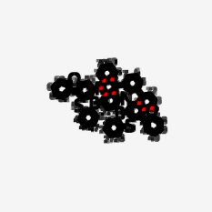 c1ccc(-c2cccc(-c3ccccc3)c2N2c3cc4c(cc3B3c5ccccc5Sc5c3c2cc2oc3ccccc3c52)B2c3ccccc3Sc3c2c(cc2oc5ccccc5c32)N4c2ccccc2)cc1